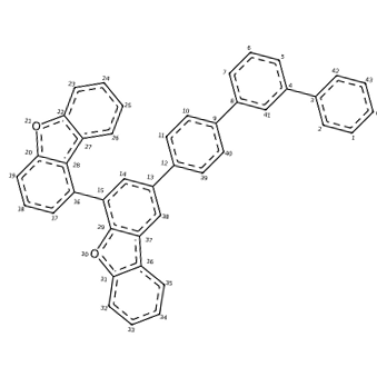 c1ccc(-c2cccc(-c3ccc(-c4cc(-c5cccc6oc7ccccc7c56)c5oc6ccccc6c5c4)cc3)c2)cc1